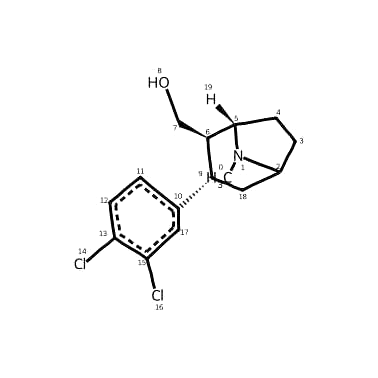 CN1C2CC[C@H]1[C@H](CO)[C@@H](c1ccc(Cl)c(Cl)c1)C2